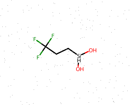 O[SiH](O)CCC(F)(F)F